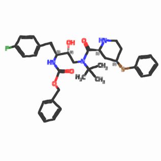 CC(C)(C)N(C[C@@H](O)[C@H](Cc1ccc(F)cc1)NC(=O)OCc1ccccc1)C(=O)[C@@H]1C[C@H](Sc2ccccc2)CCN1